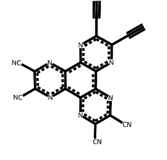 C#Cc1nc2c(nc1C#C)c1nc(C#N)c(C#N)nc1c1nc(C#N)c(C#N)nc21